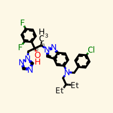 CCC(CC)CN(Cc1ccc(Cl)cc1)c1ccc2nn([C@H](C)[C@](O)(Cn3cncn3)c3ccc(F)cc3F)cc2c1